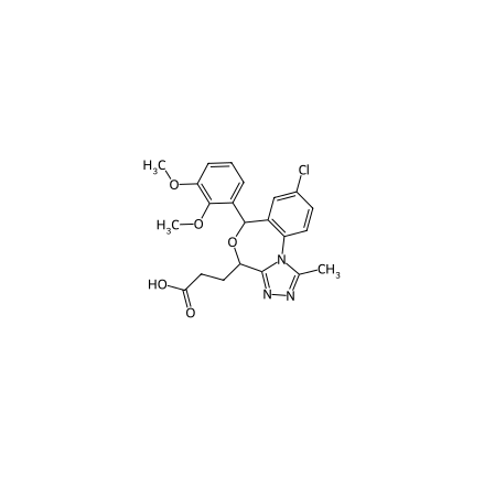 COc1cccc(C2OC(CCC(=O)O)c3nnc(C)n3-c3ccc(Cl)cc32)c1OC